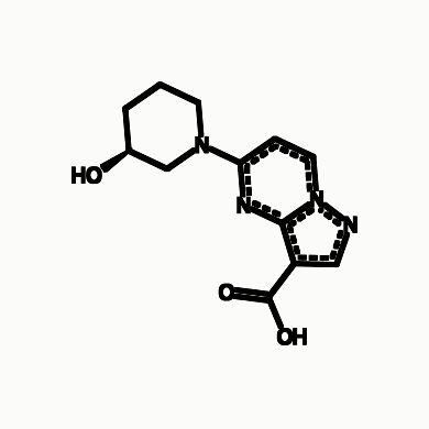 O=C(O)c1cnn2ccc(N3CCC[C@H](O)C3)nc12